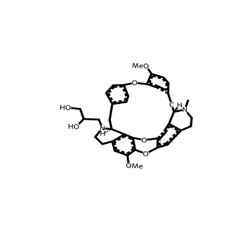 COc1ccc2cc1Oc1ccc(cc1)C[C@H]1c3c(cc(OC)c4c3Oc3cc5c(cc3O4)CCN(C)[C@H]5C2)CCN1CC(O)CO